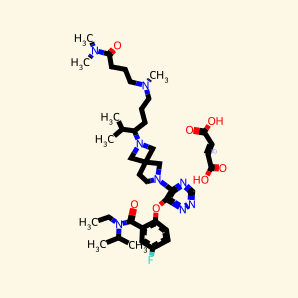 CCN(C(=O)c1cc(F)ccc1Oc1nncnc1N1CCC2(C1)CN(C(CCCN(C)CCCC(=O)N(C)C)C(C)C)C2)C(C)C.O=C(O)/C=C/C(=O)O